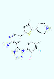 Cc1cc(-c2cnc(N)c(-c3nnnn3-c3ccc(C)c(F)c3F)c2)sc1C1CCNCC1